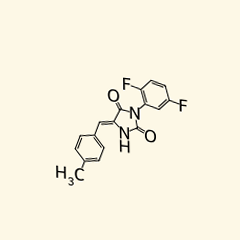 Cc1ccc(/C=C2\NC(=O)N(c3cc(F)ccc3F)C2=O)cc1